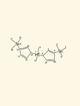 C[Si](C)(C)C1=C[CH]([Hf]([CH3])([CH3])[CH]2C=CC([Si](C)(C)C)=C2)C=C1